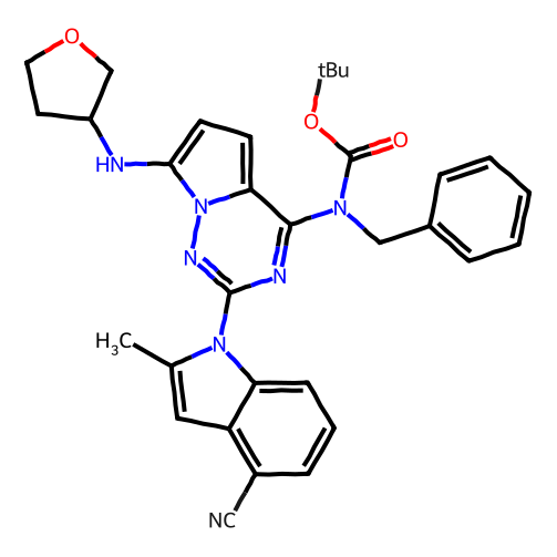 Cc1cc2c(C#N)cccc2n1-c1nc(N(Cc2ccccc2)C(=O)OC(C)(C)C)c2ccc(NC3CCOC3)n2n1